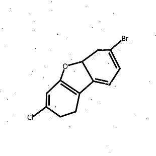 ClC1=CC2=C(CC1)C1=CC=C(Br)CC1O2